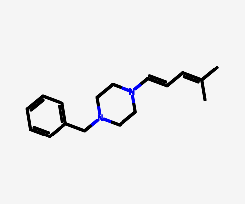 CC(C)=CC=CN1CCN(Cc2ccccc2)CC1